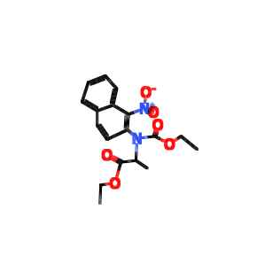 CCOC(=O)C(C)N(C(=O)OCC)c1ccc2ccccc2c1[N+](=O)[O-]